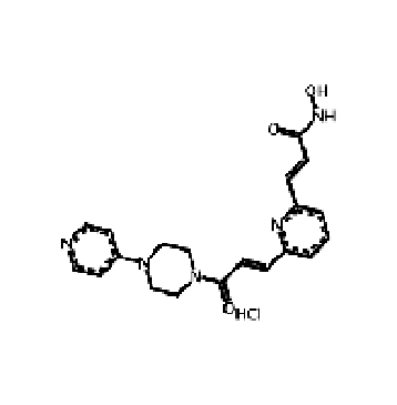 Cl.O=C(/C=C/c1cccc(/C=C/C(=O)N2CCN(c3ccncc3)CC2)n1)NO